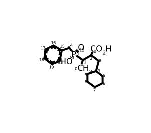 CC(C(CC1CCCCC1)C(=O)O)P(=O)(O)Cc1ccccc1